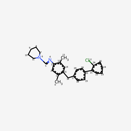 Cc1cc(/N=C/N2CCCCC2)c(C)cc1Cc1ccc(-c2ccccc2Cl)cc1